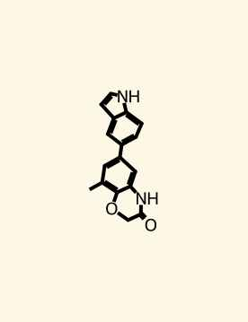 Cc1cc(-c2ccc3[nH]ccc3c2)cc2c1OCC(=O)N2